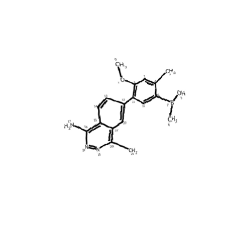 COc1cc(C)c(B(C)O)cc1-c1ccc2c(N)nnc(C)c2c1